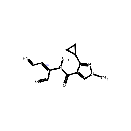 CN(C(=O)c1cn(C)nc1C1CC1)/C(C=N)=C/C=N